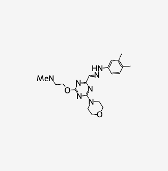 CNCCOc1nc(C=NNc2ccc(C)c(C)c2)nc(N2CCOCC2)n1